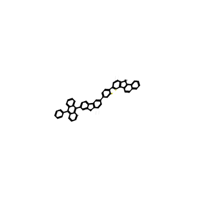 CC1(C)c2ccc(-c3ccc4c(c3)sc3c5c(ccc34)C(C)(C)c3c-5ccc4ccccc34)cc2-c2ccc(-c3c4ccccc4c(-c4ccccc4)c4ccccc34)cc21